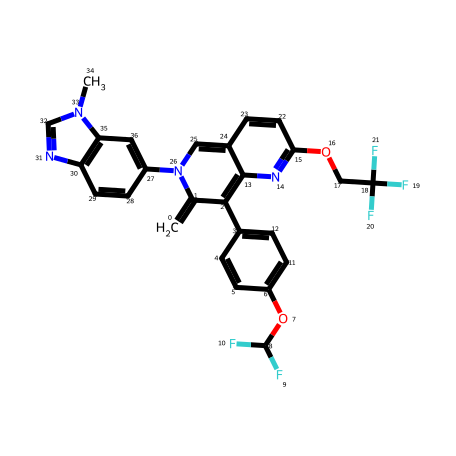 C=C1C(c2ccc(OC(F)F)cc2)=c2nc(OCC(F)(F)F)ccc2=CN1c1ccc2ncn(C)c2c1